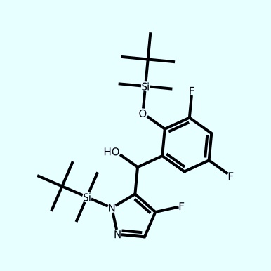 CC(C)(C)[Si](C)(C)Oc1c(F)cc(F)cc1C(O)c1c(F)cnn1[Si](C)(C)C(C)(C)C